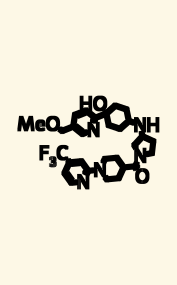 COCc1ccc(C2(O)CCC(NC3CCN(C(=O)C4CCN(c5cc(C(F)(F)F)ccn5)CC4)C3)CC2)nc1